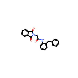 O=C(CN1C(=O)c2ccccc2C1=O)Nc1ccccc1Cc1ccccc1